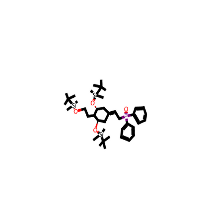 CC(C)(C)[Si](C)(C)OCCC1[C@H](O[Si](C)(C)C(C)(C)C)CC(=CCP(=O)(c2ccccc2)c2ccccc2)C[C@H]1O[Si](C)(C)C(C)(C)C